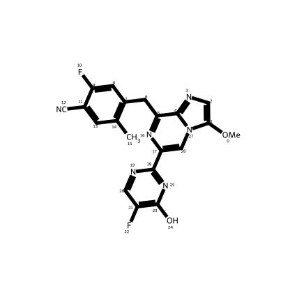 COc1cnc2c(Cc3cc(F)c(C#N)cc3C)nc(-c3ncc(F)c(O)n3)cn12